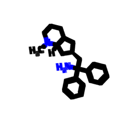 CN1CCCC2C[C@@H](CC(N)(c3ccccc3)c3ccccc3)C[C@@H]21